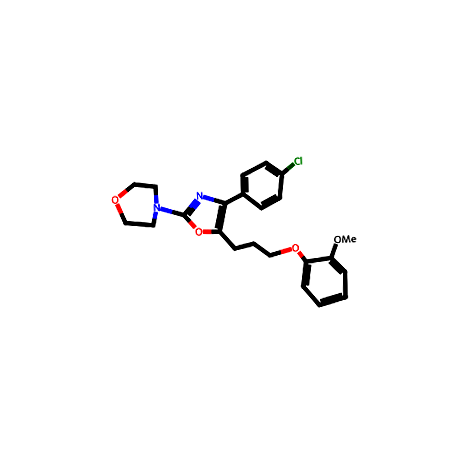 COc1ccccc1OCCCc1oc(N2CCOCC2)nc1-c1ccc(Cl)cc1